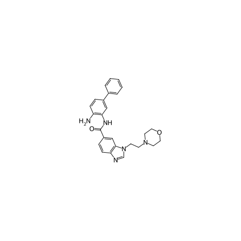 Nc1ccc(-c2ccccc2)cc1NC(=O)c1ccc2ncn(CCN3CCOCC3)c2c1